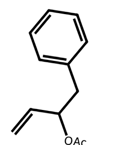 C=CC(Cc1ccccc1)OC(C)=O